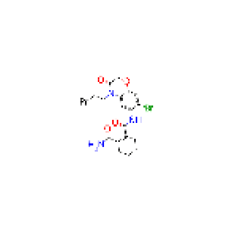 CC(C)CCN1C(=O)COc2cc(Br)c(NC(=O)C3=C(C(N)=O)CCCC3)cc21